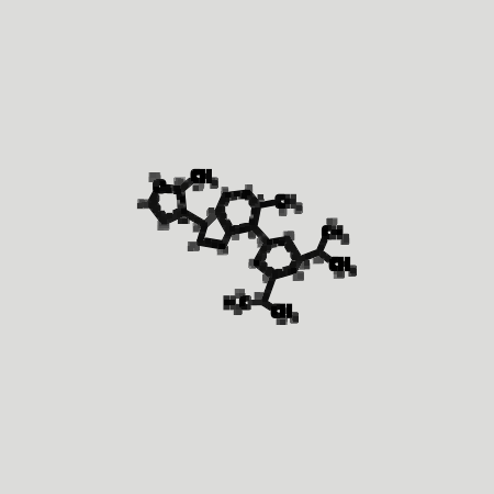 Cc1ccc2c(c1-c1cc(C(C)C)cc(C(C)C)c1)C=CC2c1ccoc1C